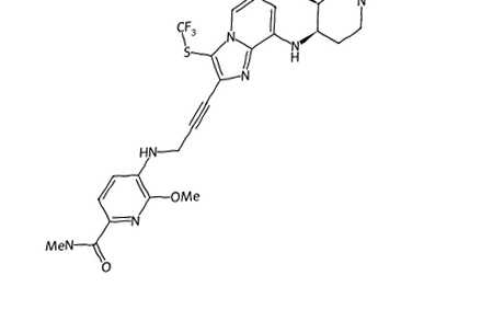 CNC(=O)c1ccc(NCC#Cc2nc3c(N[C@@H]4CCN(C)C[C@@H]4F)cccn3c2SC(F)(F)F)c(OC)n1